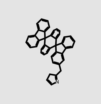 C1=CN=C(Cc2ccc3c(c2)-c2ccccc2C32c3ccccc3C3(c4ccccc4-c4ccccc43)c3ccccc32)C1